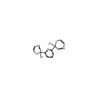 CC(C)C1(c2cccc(C3(C(C)C)C=NC=CO3)n2)C=NC=CO1